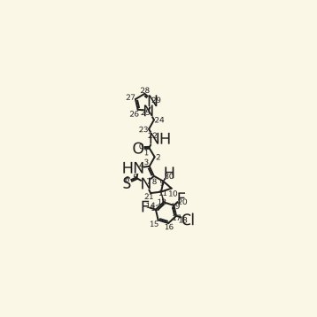 O=C(Cc1[nH]c(=S)n2c1[C@@H]1C[C@]1(c1c(F)ccc(Cl)c1F)C2)NCCn1cccn1